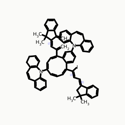 C=C1/C(=C\C(=C)c2ccc(N3C4=C(C=Cc5ccccc53)CCC=C4)cccc(/C(I)=C/C=C3\CC(C)(C)c4ccccc43)c3ccc(N4c5ccccc5C=Cc5ccccc54)cc23)C(C)(C)c2ccccc21